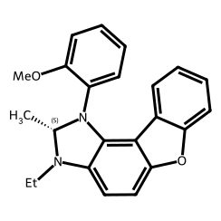 CCN1c2ccc3oc4ccccc4c3c2N(c2ccccc2OC)[C@H]1C